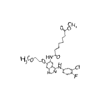 COCCOc1cc2ncnc(Nc3ccc(F)c(Cl)c3)c2cc1NC(=O)CCCCCCC(=O)OC